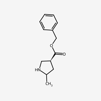 CC1C[C@H](C(=O)OCc2ccccc2)CN1